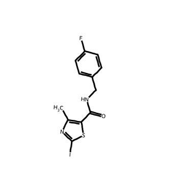 Cc1nc(I)sc1C(=O)NCc1ccc(F)cc1